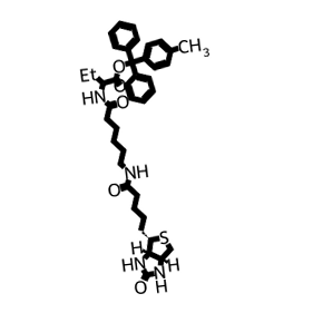 CCC(NC(=O)CCCCCNC(=O)CCCC[C@@H]1SC[C@@H]2NC(=O)N[C@@H]21)C(=O)OC(c1ccccc1)(c1ccccc1)c1ccc(C)cc1